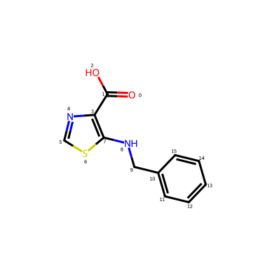 O=C(O)c1ncsc1NCc1ccccc1